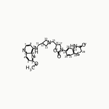 COc1ccc2nccc(NCC3CN(CC4CN(c5ccc6c(c5)NC(=O)CS6)C(=O)O4)C3)c2n1